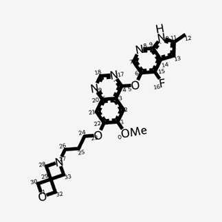 COc1cc2c(Oc3cnc4[nH]c(C)cc4c3F)ncnc2cc1OCCCN1CC2(COC2)C1